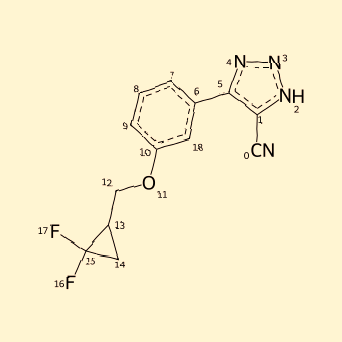 N#Cc1[nH]nnc1-c1cccc(OCC2CC2(F)F)c1